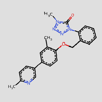 Cc1ccc(-c2ccc(OCc3ccccc3-n3nnn(C)c3=O)c(C)c2)cn1